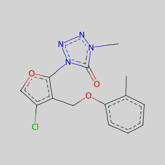 Cc1ccccc1OCc1c(Cl)coc1-n1nnn(C)c1=O